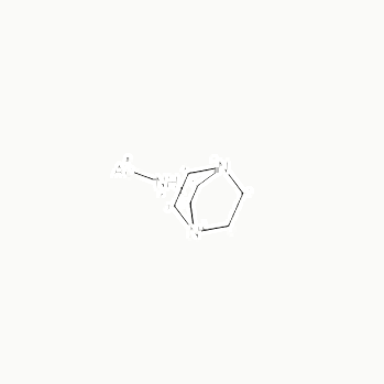 C1CN2CCN1CC2.CC(N)=O